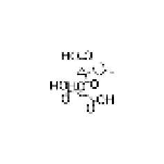 CC1CCC(C2(C(=O)O)CC2C(=O)O)C1.O=C(O)CCCC(=O)O